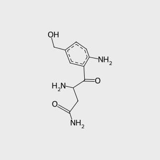 NC(=O)CC(N)C(=O)c1cc(CO)ccc1N